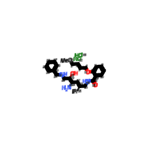 COCCCCOc1ccccc1C(=O)NC[C@@H](C[C@H](N)[C@@H](O)CNCc1ccccc1)C(C)C.Cl.Cl